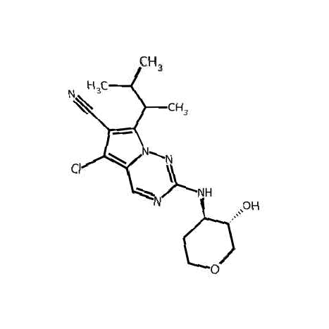 CC(C)C(C)c1c(C#N)c(Cl)c2cnc(N[C@@H]3CCOC[C@H]3O)nn12